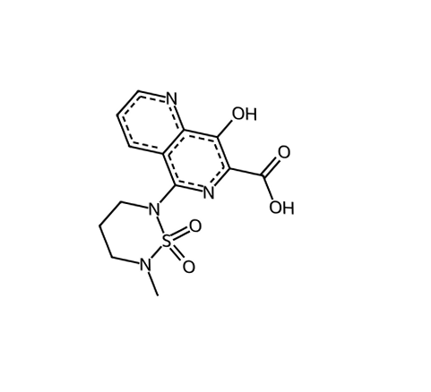 CN1CCCN(c2nc(C(=O)O)c(O)c3ncccc23)S1(=O)=O